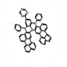 c1ccc(N2c3cc(-c4ncncn4)cc4c3B(c3cc5c6cccc7cccc(c8cccc(c32)c85)c76)c2cc3c5cccc6cccc(c7cccc(c2N4c2ccccc2)c73)c65)cc1